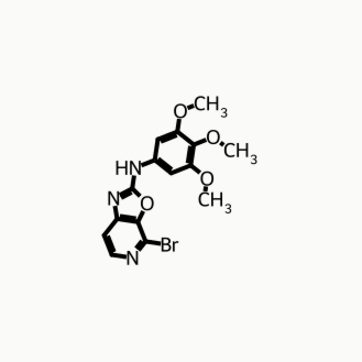 COc1cc(Nc2nc3ccnc(Br)c3o2)cc(OC)c1OC